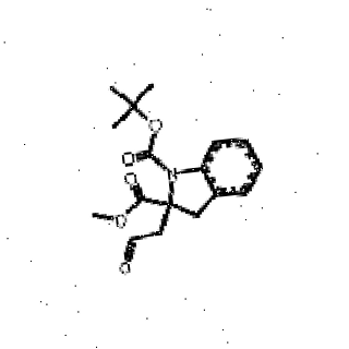 COC(=O)C1(CC=O)Cc2ccccc2N1C(=O)OC(C)(C)C